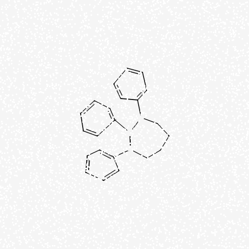 c1ccc(P2CCCCP(c3ccccc3)P2c2ccccc2)cc1